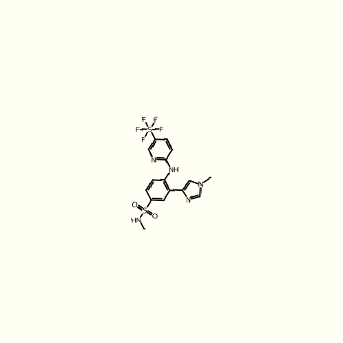 CNS(=O)(=O)c1ccc(Nc2ccc(S(F)(F)(F)(F)F)cn2)c(-c2cn(C)cn2)c1